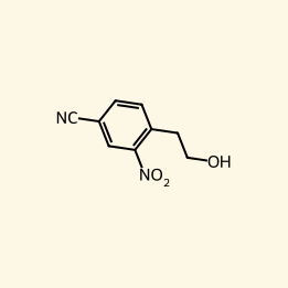 N#Cc1ccc(CCO)c([N+](=O)[O-])c1